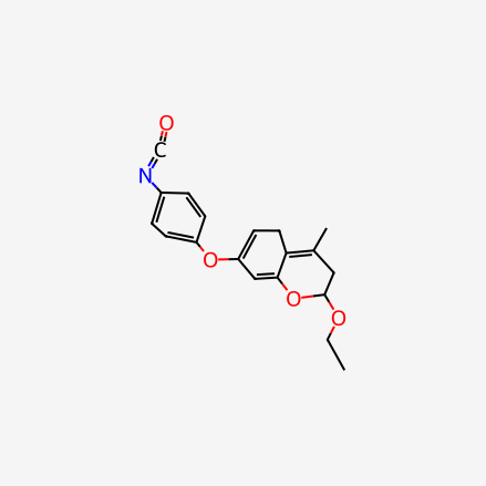 CCOC1CC(C)=C2CC=C(Oc3ccc(N=C=O)cc3)C=C2O1